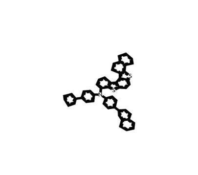 c1ccc(-c2ccc(N(c3ccc(-c4ccc5ccccc5c4)cc3)c3cccc4c3sc3ccc5sc6c7ccccc7ccc6c5c34)cc2)cc1